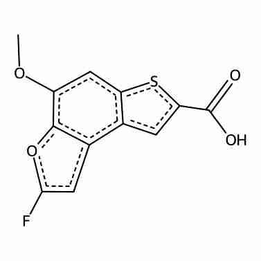 COc1cc2sc(C(=O)O)cc2c2cc(F)oc12